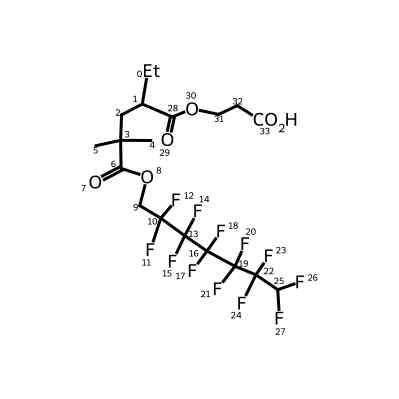 CCC(CC(C)(C)C(=O)OCC(F)(F)C(F)(F)C(F)(F)C(F)(F)C(F)(F)C(F)F)C(=O)OCCC(=O)O